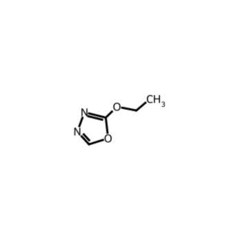 CCOc1nnco1